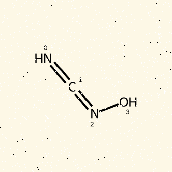 N=C=NO